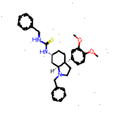 COc1ccc([C@@]23CC[C@@H](NC(=S)NCc4ccccc4)C[C@@H]2N(Cc2ccccc2)CC3)cc1OC